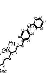 CCCCCCCCCCCCCCC(CC[CH]c1ccc(Oc2ccccc2)cc1)N(C)C